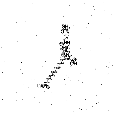 C[C@@H](CCCCNC(=O)c1ccc(CN(CCC(=O)O)C(=O)CCCCCCCCCCCCCCC(=O)O)o1)C(=O)O